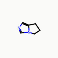 [CH]1CCc2cncn21